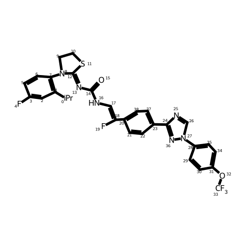 CC(C)c1cc(F)ccc1N1CCS/C1=N\C(=O)N/C=C(\F)c1ccc(-c2ncn(-c3ccc(OC(F)(F)F)cc3)n2)cc1